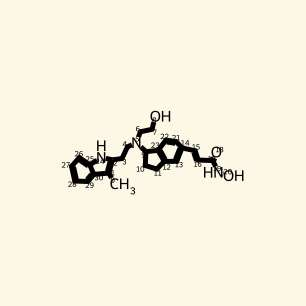 Cc1c(CCN(CCO)C2CCc3cc(C=CC(=O)NO)ccc32)[nH]c2ccccc12